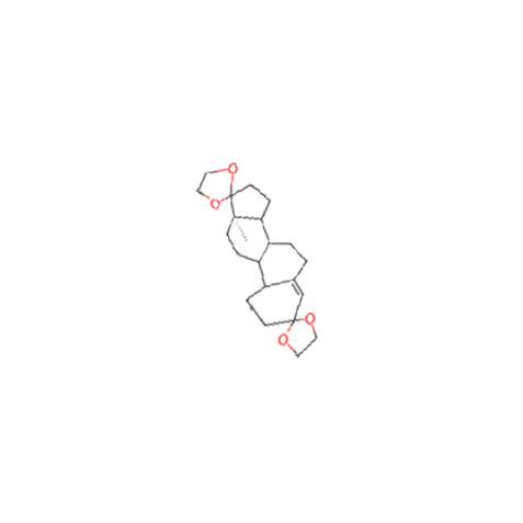 C[C@@]12CCC3C4CCC5(C=C4CCC3C1CCC21OCCO1)OCCO5